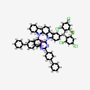 Clc1cc(Cl)c(B(c2ccc3c(c2)c2ccc4c5ccccc5n(-c5ccccc5)c4c2n3-c2nc(-c3ccc(-c4ccccc4)cc3)nc(-c3ccc(-c4ccccc4)cc3)n2)c2c(Cl)cc(Cl)cc2Cl)c(Cl)c1